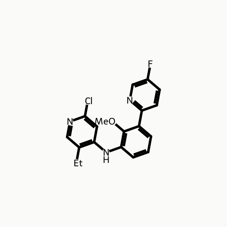 CCc1cnc(Cl)cc1Nc1cccc(-c2ccc(F)cn2)c1OC